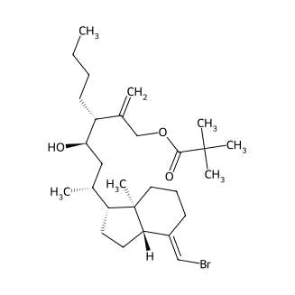 C=C(COC(=O)C(C)(C)C)[C@@H](CCCC)[C@H](O)C[C@@H](C)[C@H]1CC[C@H]2/C(=C/Br)CCC[C@]12C